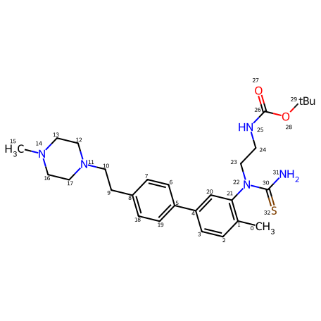 Cc1ccc(-c2ccc(CCN3CCN(C)CC3)cc2)cc1N(CCNC(=O)OC(C)(C)C)C(N)=S